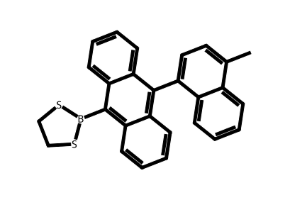 Cc1ccc(-c2c3ccccc3c(B3SCCS3)c3ccccc23)c2ccccc12